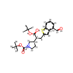 CC(C)(C)OC(=O)[C@@H](Cc1cc2c(C=O)cccc2s1)[C@H]1CCN(C(=O)OC(C)(C)C)C1